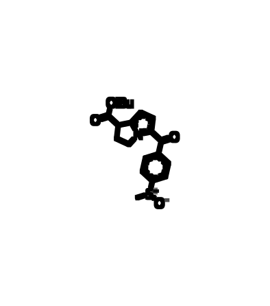 CC(C)COC(=O)C1CCn2c(C(=O)c3ccc([S+](C)[O-])cc3)ccc21